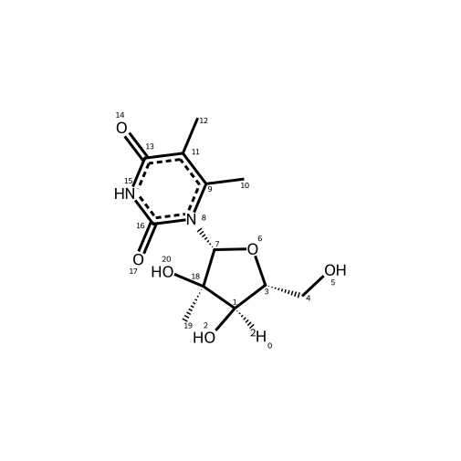 [2H][C@@]1(O)[C@@H](CO)O[C@@H](n2c(C)c(C)c(=O)[nH]c2=O)[C@]1(C)O